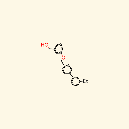 CCc1cccc(-c2ccc(COc3cccc(CO)c3)cc2)c1